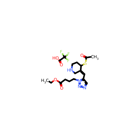 CCOC(=O)CCCn1nncc1C=C1CNCCC1SC(C)=O.O=C(O)C(F)(F)F